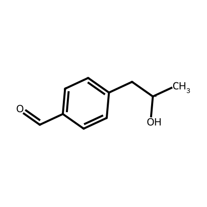 C[C](O)Cc1ccc(C=O)cc1